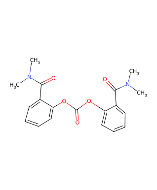 CN(C)C(=O)c1ccccc1OC(=O)Oc1ccccc1C(=O)N(C)C